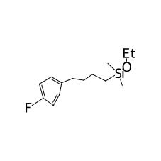 CCO[Si](C)(C)CCCCc1ccc(F)cc1